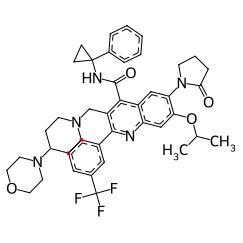 CC(C)Oc1cc2nc(-c3cccc(C(F)(F)F)c3)c(CN3CCC(N4CCOCC4)CC3)c(C(=O)NC3(c4ccccc4)CC3)c2cc1N1CCCC1=O